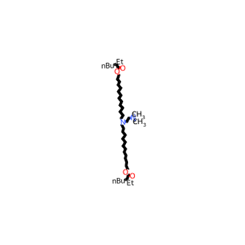 CCCCC(CC)C(=O)OCCCCCCCCCCCCCCN(CCCCCCCCCCCCCCOC(=O)C(CC)CCCC)CCN(C)C